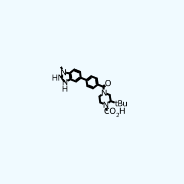 CN1NNc2cc(-c3ccc(C(=O)N4CCN(C(=O)O)C(C(C)(C)C)C4)cc3)ccc21